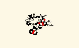 CC[C@H](C)[C@@H]([C@@H](CC(=O)N1CCC[C@H]1[C@H](OC)[C@@H](C)C(=O)N[C@@]1(C(=O)N2CCCCO2)C[C@@H]1c1ccccc1)OC)N(C)C(=O)[C@@H](NC(=O)[C@H](C(C)C)N(C)CCCNC(=O)C1(C(=O)ON2C(=O)CCC2=O)CC1)C(C)C